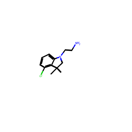 CC1(C)CN(CCN)c2cccc(Cl)c21